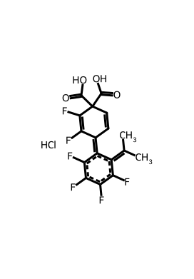 CC(C)=c1c(F)c(F)c(F)c(F)c1=C1C=CC(C(=O)O)(C(=O)O)C(F)=C1F.Cl